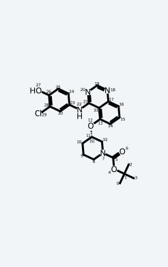 CC(C)(C)OC(=O)N1CCC[C@H](Oc2cccc3ncnc(Nc4ccc(O)c(Cl)c4)c23)C1